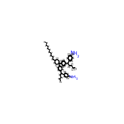 CCCCCCCCCCCC1CCC(c2ccc(C(CCCC)c3ccc(N)cc3)cc2)(c2ccc(C(CCCC)c3ccc(N)cc3)cc2)CC1